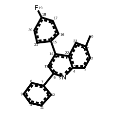 Cc1ccc2nc(-c3ccccc3)cc(-c3ccc(F)cc3)c2c1